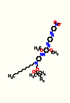 CCCCCCCCCCCCN(CCOC(=O)C(C)(C)CC)c1ccc(/N=N/c2cc(OC)c(/N=N/c3ccc(/N=N/c4ccc([N+](=O)[O-])cc4)cc3)cc2OC)cc1